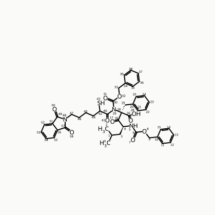 CC(C)C[C@H](NC(=O)OCc1ccccc1)C(=O)[C@](Cc1ccccc1)(C(=O)O)N(C(=O)OCc1ccccc1)C(=O)C(S)CCCCN1C(=O)c2ccccc2C1=O